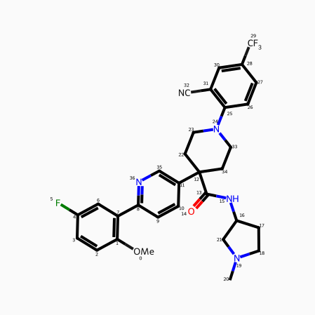 COc1ccc(F)cc1-c1ccc(C2(C(=O)NC3CCN(C)C3)CCN(c3ccc(C(F)(F)F)cc3C#N)CC2)cn1